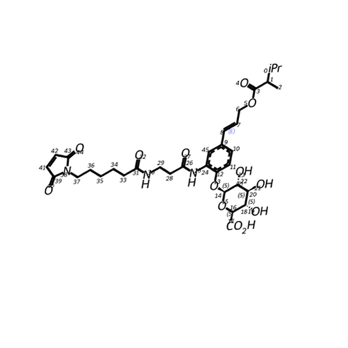 CC(C)C(C)C(=O)OC/C=C/c1ccc(O[C@@H]2O[C@H](C(=O)O)[C@@H](O)[C@H](O)[C@H]2O)c(NC(=O)CCNC(=O)CCCCCN2C(=O)C=CC2=O)c1